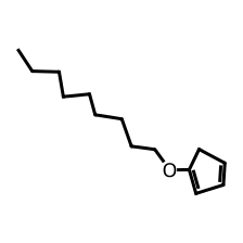 CCCCCCCCCOC1=CC=CC1